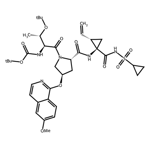 C=C[C@@H]1C[C@]1(NC(=O)[C@@H]1C[C@@H](Oc2nccc3cc(OC)ccc23)CN1C(=O)[C@@H](NC(=O)OC(C)(C)C)[C@H](C)OC(C)(C)C)C(=O)NS(=O)(=O)C1CC1